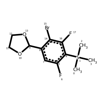 CS(C)(C)c1c(F)cc(C2OCCO2)c(Br)c1F